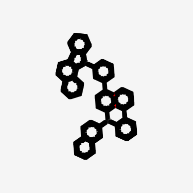 c1ccc(-c2ccccc2N(c2ccc(-c3cccc(-n4c5ccccc5c5ccc6ccccc6c54)c3)cc2)c2ccc3ccccc3c2)cc1